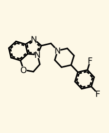 Fc1ccc(C2CCN(Cc3nc4cccc5c4n3CCO5)CC2)c(F)c1